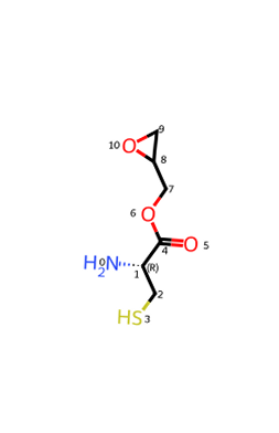 N[C@@H](CS)C(=O)OCC1CO1